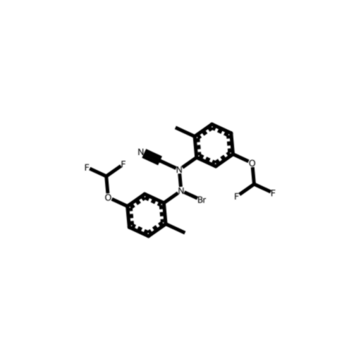 Cc1ccc(OC(F)F)cc1N(Br)N(C#N)c1cc(OC(F)F)ccc1C